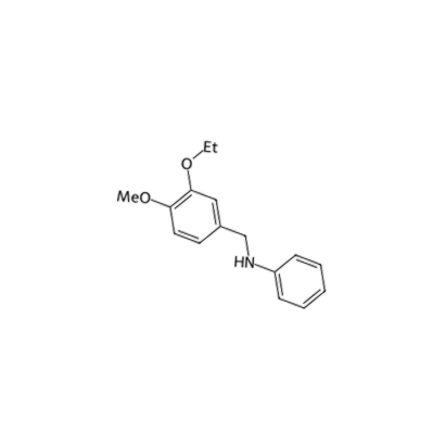 CCOc1cc(CNc2ccccc2)ccc1OC